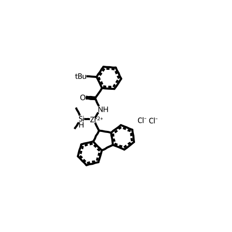 C[SiH](C)[Zr+2]([NH]C(=O)c1ccccc1C(C)(C)C)[CH]1c2ccccc2-c2ccccc21.[Cl-].[Cl-]